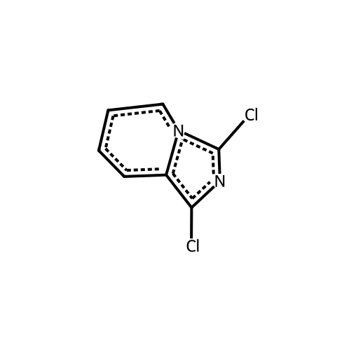 Clc1nc(Cl)n2ccccc12